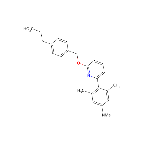 CNc1cc(C)c(-c2cccc(OCc3ccc(CCC(=O)O)cc3)n2)c(C)c1